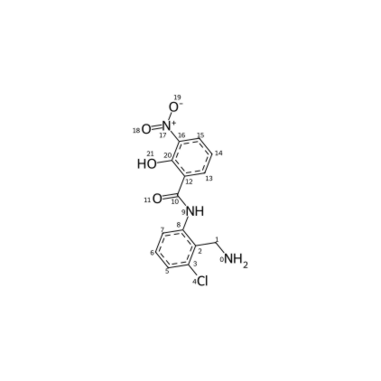 NCc1c(Cl)cccc1NC(=O)c1cccc([N+](=O)[O-])c1O